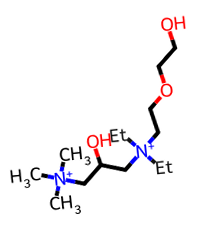 CC[N+](CC)(CCOCCO)CC(O)C[N+](C)(C)C